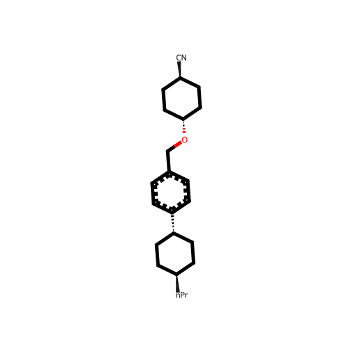 CCC[C@H]1CC[C@H](c2ccc(CO[C@H]3CC[C@H](C#N)CC3)cc2)CC1